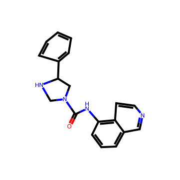 O=C(Nc1cccc2cnccc12)N1CNC(c2ccccc2)C1